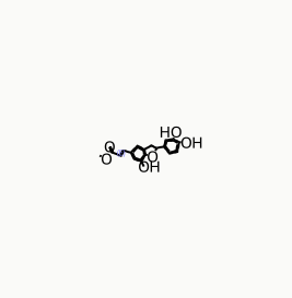 COC(=O)/C=C/c1cc(O)c2c(c1)CC(c1ccc(O)c(O)c1)O2